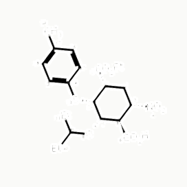 CCOC(=O)[C@@H]1C[C@H]([N+](=O)[O-])[C@@H](C(=O)O)[C@H](OC(CC)CC)[C@@H]1Sc1ccc(C)cc1